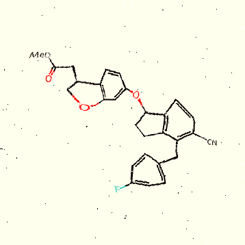 COC(=O)C[C@@H]1COc2cc(O[C@@H]3CCc4c3ccc(C#N)c4Cc3ccc(F)cc3)ccc21